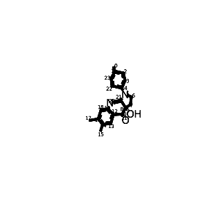 Cc1ccc(N2CCC3(O)C(=O)c4cc(C)c(C)cc4N=C23)cc1